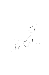 COc1cc(-c2ccc(C)cn2)cc2c(N[C@@H](C)n3ccc(C)n3)ncnc12